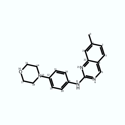 Cc1ccc2cnc(Nc3ccc(N4CCOCC4)cc3)nc2c1